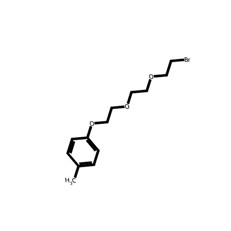 Cc1ccc(OCCOCCOCCBr)cc1